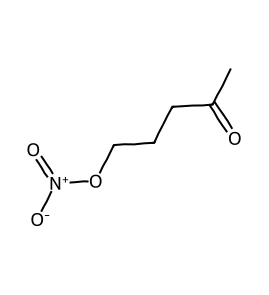 CC(=O)CCCO[N+](=O)[O-]